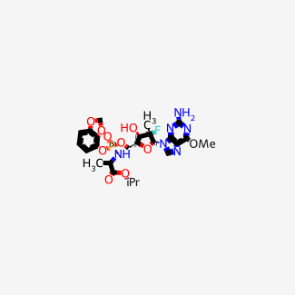 COc1nc(N)nc2c1ncn2[C@@H]1O[C@H](CO[P@@](=O)(NC(C)C(=O)OC(C)C)Oc2cccc3c2OCO3)[C@@H](O)[C@@]1(C)F